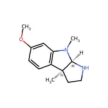 COc1ccc2c(c1)N(C)[C@H]1NCC[C@@]21C